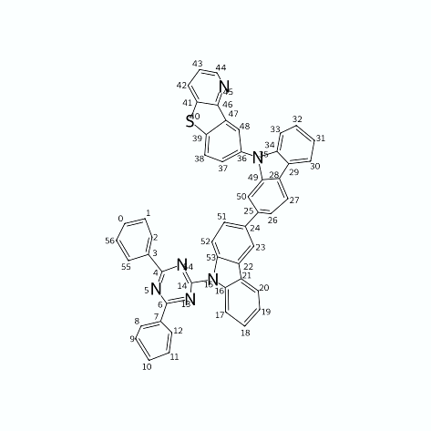 c1ccc(-c2nc(-c3ccccc3)nc(-n3c4ccccc4c4cc(-c5ccc6c7ccccc7n(-c7ccc8sc9cccnc9c8c7)c6c5)ccc43)n2)cc1